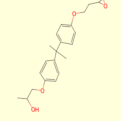 CC(O)COc1ccc(C(C)(C)c2ccc(OCCC3CO3)cc2)cc1